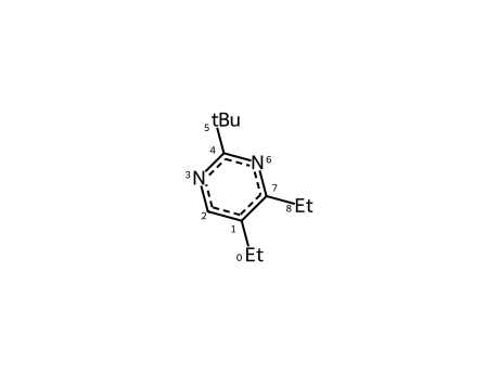 CCc1cnc(C(C)(C)C)nc1CC